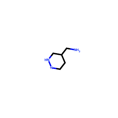 NCC1CC[N]NC1